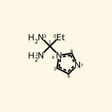 CCC(N)(N)n1ccnc1